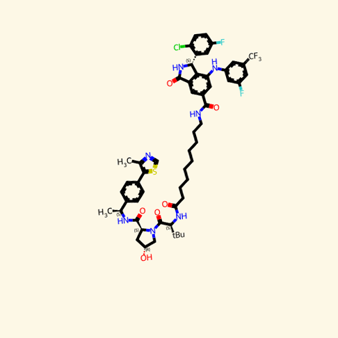 Cc1ncsc1-c1ccc([C@H](C)NC(=O)[C@@H]2C[C@@H](O)CN2C(=O)[C@@H](NC(=O)CCCCCCCCCNC(=O)c2cc(Nc3cc(F)cc(C(F)(F)F)c3)c3c(c2)C(=O)N[C@@H]3c2cc(F)ccc2Cl)C(C)(C)C)cc1